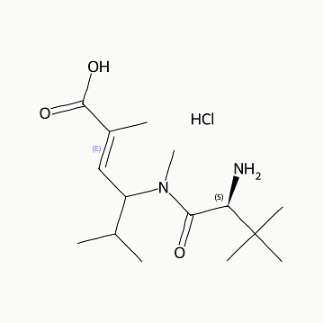 C/C(=C\C(C(C)C)N(C)C(=O)[C@@H](N)C(C)(C)C)C(=O)O.Cl